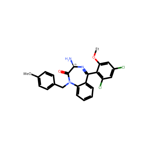 CCOc1cc(Cl)cc(Cl)c1C1=N[C@H](N)C(=O)N(Cc2ccc(OC)cc2)c2ccccc21